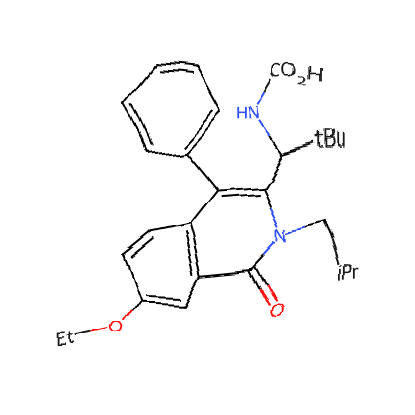 CCOc1ccc2c(-c3ccccc3)c(C(NC(=O)O)C(C)(C)C)n(CC(C)C)c(=O)c2c1